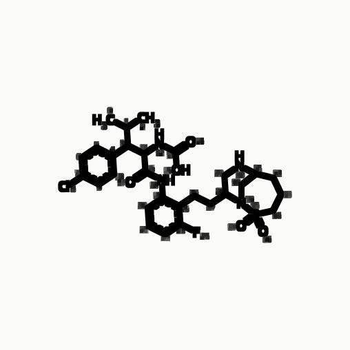 CC(C)C(c1ccc(Cl)cc1)C(NC(=O)O)C(=O)Nc1cccc(F)c1CCC1CNC2CCCS(=O)(=O)N1C2